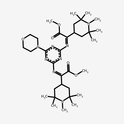 COC(=O)/C(=N\c1nc(/N=C(\C(=O)OC)C2CC(C)(C)N(C)C(C)(C)C2)nc(N2CCOCC2)n1)C1CC(C)(C)N(C)C(C)(C)C1